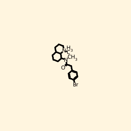 CN1CCCC2CCCC(N(C)C(=O)Cc3ccc(Br)cc3)C21